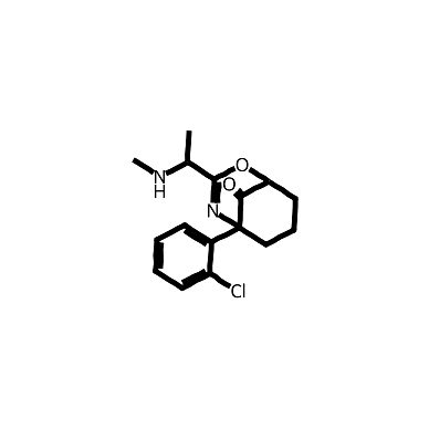 CNC(C)C1=NC2(c3ccccc3Cl)CCCC(O1)C2=O